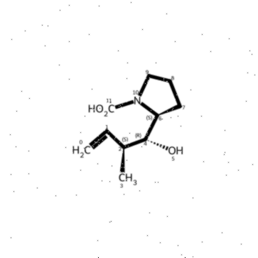 C=C[C@H](C)[C@@H](O)[C@@H]1CCCN1C(=O)O